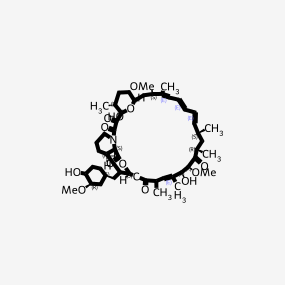 CO[C@H]1C[C@@H]2CC[C@@H](C)[C@@](O)(O2)C(=O)C(=O)N2CCC[C@@H]3C(C[C@@H]4CCC(O)[C@H](OC)C4)[C@H](CC(=O)C(C)/C=C(\C)[C@@H](O)[C@@H](OC)C(=O)[C@H](C)C[C@H](C)/C=C/C=C/C=C/1C)OC(=O)[C@H]32